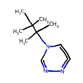 CC(C)(C)C(C)(C)N1C=C=NN=C1